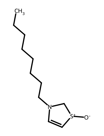 CCCCCCCCN1C=C[S+]([O-])C1